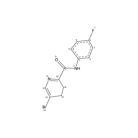 O=C(Nc1ccc(F)cc1)C1=NC=C(Br)CC1